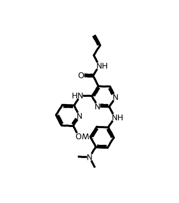 C=CCNC(=O)c1cnc(Nc2ccc(N(C)C)cc2)nc1Nc1cccc(OC)n1